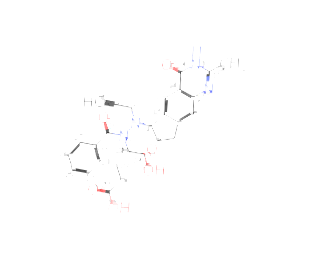 C#CCN(C1CCc2cc3nc(C)[nH]c(=O)c3cc21)N(C(=O)c1ccccc1)[C@@H](CCC(=O)O)C(=O)O